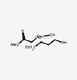 CCCCCCCCCCO.CCOC(=O)CCCO.COC(=O)CC(C)=O